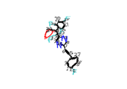 Fc1ccc(C#Cc2cnc(C(F)(F)C3(c4ccc(F)cc4F)CO3)cn2)cc1